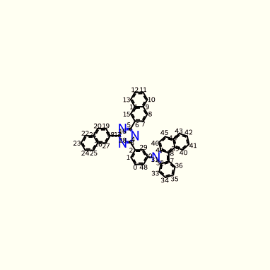 c1cc(-c2nc(-c3ccc4ccccc4c3)nc(-c3ccc4ccccc4c3)n2)cc(-n2c3ccccc3c3c4ccccc4ccc32)c1